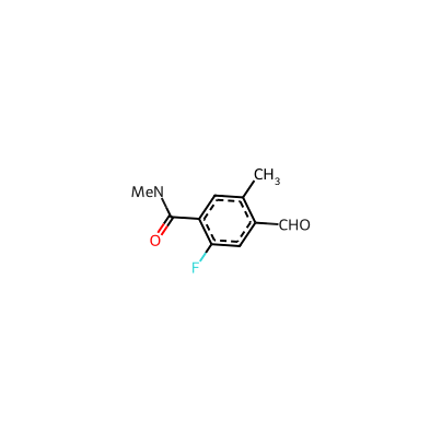 CNC(=O)c1cc(C)c(C=O)cc1F